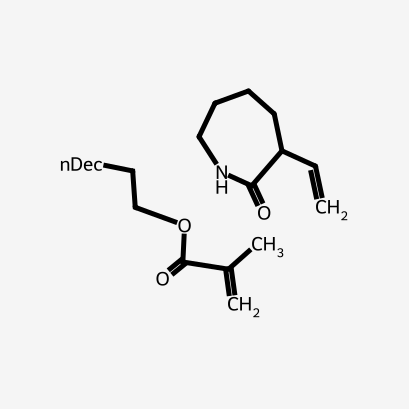 C=C(C)C(=O)OCCCCCCCCCCCC.C=CC1CCCCNC1=O